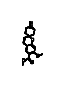 COC(=O)c1cc2c(cc1OC)OC1(C=C2)CCNCC1